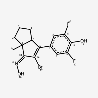 CC12CCCC1C(c1cc(F)c(O)c(F)c1)=C(Br)C2=NO